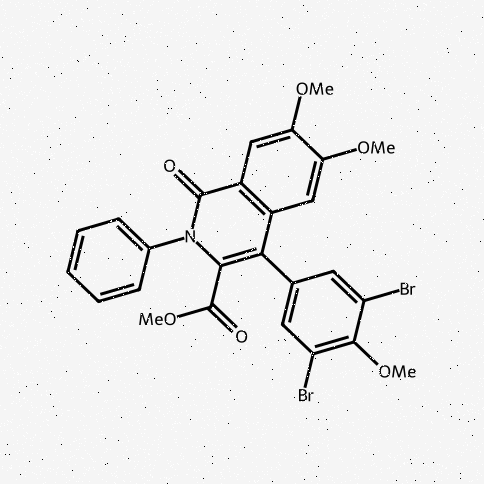 COC(=O)c1c(-c2cc(Br)c(OC)c(Br)c2)c2cc(OC)c(OC)cc2c(=O)n1-c1ccccc1